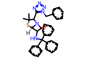 CC1(C)S[C@@H]2C(NC(c3ccccc3)(c3ccccc3)c3ccccc3)C(=O)N2C1c1nnnn1Cc1ccccc1